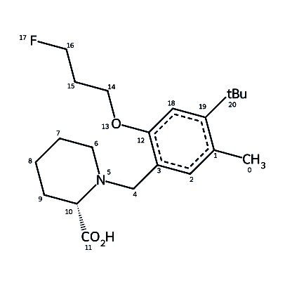 Cc1cc(CN2CCCC[C@H]2C(=O)O)c(OCCCF)cc1C(C)(C)C